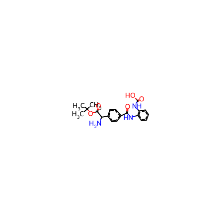 CC(C)(C)OC(=O)C(N)c1ccc(C(=O)Nc2ccccc2NC(=O)O)cc1